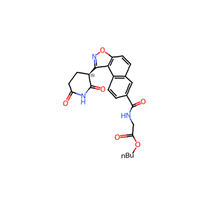 CCCCOC(=O)CNC(=O)c1ccc2c(ccc3onc([C@@H]4CCC(=O)NC4=O)c32)c1